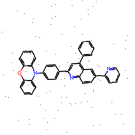 c1ccc(-c2cc(-c3ccc(N4c5ccccc5Oc5ccccc54)cc3)nc3ccc(-c4ccccn4)cc23)cc1